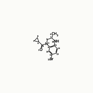 CC1CN(C(=O)C2CC2)c2cc(Br)ccc2N1